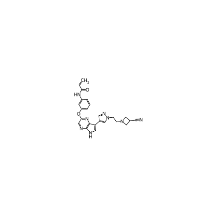 C=CC(=O)Nc1cccc(Oc2cnc3[nH]cc(-c4cnn(CCN5CC(C#N)C5)c4)c3n2)c1